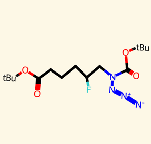 CC(C)(C)OC(=O)CCCC(F)CN(N=[N+]=[N-])C(=O)OC(C)(C)C